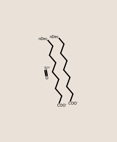 CCCCCCCCCCCCCCCCCC(=O)[O-].CCCCCCCCCCCCCCCCCC(=O)[O-].[O]=[Ti+2]